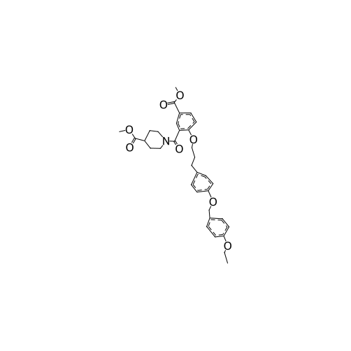 CCOc1ccc(COc2ccc(CCCOc3ccc(C(=O)OC)cc3C(=O)N3CCC(C(=O)OC)CC3)cc2)cc1